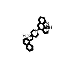 NC1(Cc2cccc3ccccc23)CCN(C2=CC3=CCCC4=C3C3(N=CC=C23)NC=N4)CC1